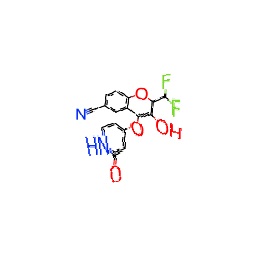 N#Cc1ccc2c(c1)C(Oc1cc[nH]c(=O)c1)=C(O)C(C(F)F)O2